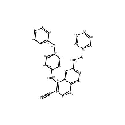 N#Cc1cnc2cnc(NCc3cccnc3)cc2c1Nc1ccc(Nc2ccccc2)cc1